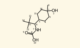 CC1(O)CCC(C(NC(=O)O)C(C)(C)C)CC1